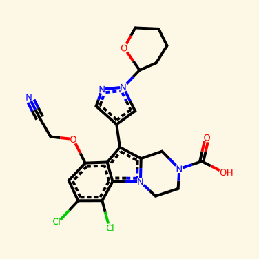 N#CCOc1cc(Cl)c(Cl)c2c1c(-c1cnn(C3CCCCO3)c1)c1n2CCN(C(=O)O)C1